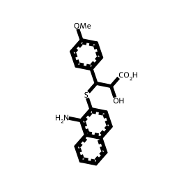 COc1ccc(C(Sc2ccc3ccccc3c2N)C(O)C(=O)O)cc1